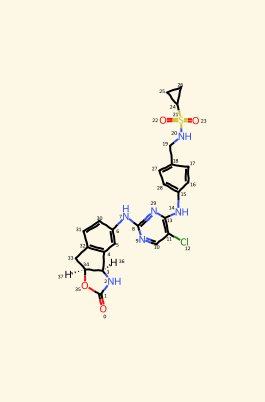 O=C1N[C@@H]2c3cc(Nc4ncc(Cl)c(Nc5ccc(CNS(=O)(=O)C6CC6)cc5)n4)ccc3C[C@@H]2O1